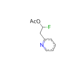 CC(=O)OC(F)Cc1ccccn1